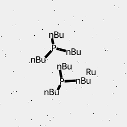 CCCCP(CCCC)CCCC.CCCCP(CCCC)CCCC.[Ru]